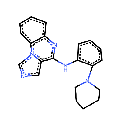 c1ccc(N2CCCCC2)c(Nc2nc3ccccc3n3cncc23)c1